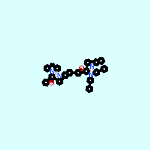 CC1(C)c2ccccc2N2c3cc4c(oc5ccccc54)c4c3B(c3cccc1c32)n1c2cc3ccc(-c5ccc6c(c5)oc5c7c8c(cc56)N(c5ccc(-c6ccccc6)cc5)c5ccc(-c6ccccc6)cc5B8n5c6cc8ccccc8cc6c6cccc-7c65)cc3cc2c2cccc-4c21